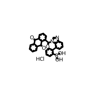 Cl.O=C1c2ccccc2C(=O)c2c1cccc2C(=O)n1cnc2cccc(-c3ccccc3B(O)O)c21